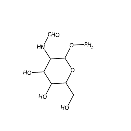 O=CNC1C(OP)OC(CO)C(O)C1O